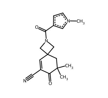 Cn1ccc(C(=O)N2CC3(C=C(C#N)C(=O)C(C)(C)C3)C2)c1